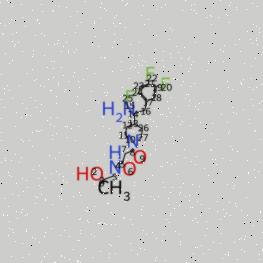 C[C@@H](O)CNC(=O)CC(=O)N1CCC([C@H](N)Cc2cc(F)c(F)cc2F)CC1